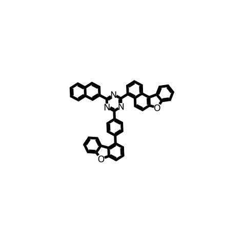 c1ccc2cc(-c3nc(-c4ccc(-c5cccc6oc7ccccc7c56)cc4)nc(-c4cccc5c4ccc4oc6ccccc6c45)n3)ccc2c1